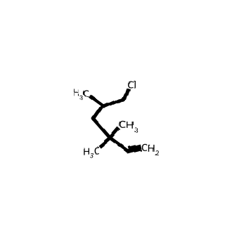 C=CC(C)(C)CC(C)CCl